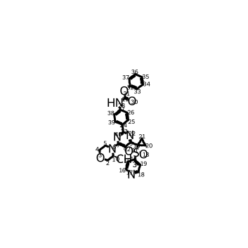 C[C@H]1COCCN1c1cc(C2(S(=O)(=O)c3ccncc3)CC2)nc(-c2ccc(NC(=O)Oc3ccccc3)cc2)n1